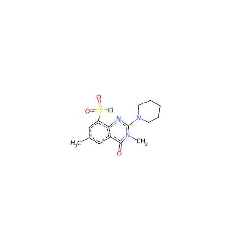 Cc1cc(S(=O)(=O)Cl)c2nc(N3CCCCC3)n(C)c(=O)c2c1